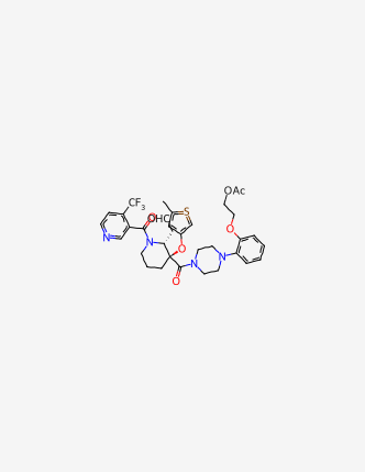 CC(=O)OCCOc1ccccc1N1CCN(C(=O)[C@]2(Oc3csc(C)c3)CCCN(C(=O)c3cnccc3C(F)(F)F)[C@@H]2CC=O)CC1